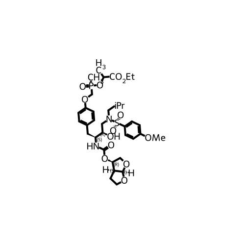 CCOC(=O)C(C)OP(C)(=O)COc1ccc(C[C@H](NC(=O)O[C@H]2CO[C@H]3OCC[C@H]32)[C@H](O)CN(CC(C)C)S(=O)(=O)c2ccc(OC)cc2)cc1